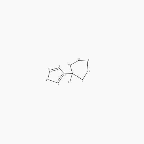 CC1(C2=[C]CC=C2)CCCCC1